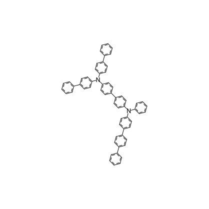 c1ccc(-c2ccc(-c3ccc(N(c4ccccc4)c4ccc(-c5ccc(N(c6ccc(-c7ccccc7)cc6)c6ccc(-c7ccccc7)cc6)cc5)cc4)cc3)cc2)cc1